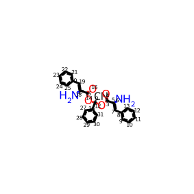 N#CC(OC(=O)C(N)=Cc1ccccc1)(OC(=O)C(N)=Cc1ccccc1)c1ccccc1